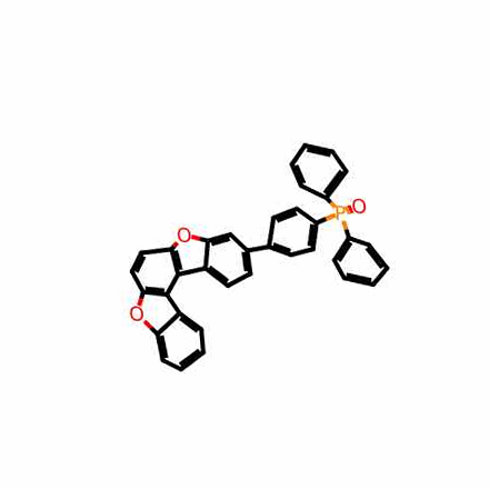 O=P(c1ccccc1)(c1ccccc1)c1ccc(-c2ccc3c(c2)oc2ccc4oc5ccccc5c4c23)cc1